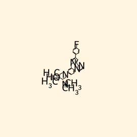 CCC1(O)C(C)CN(c2ccc3c(c2)Cn2cc(-c4ccc(F)cc4)cc2-c2nccn2-3)C[C@@H]1CN(C)C